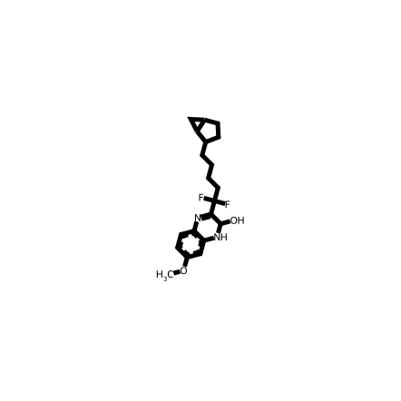 COc1ccc2c(c1)NC(O)C(C(F)(F)CCCCC1CCC3CC13)=N2